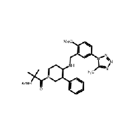 COc1ccc(-n2nnnc2C(F)(F)F)cc1CNC1CCN(C(=O)C(C)(C)NC(C)=O)CC1c1ccccc1